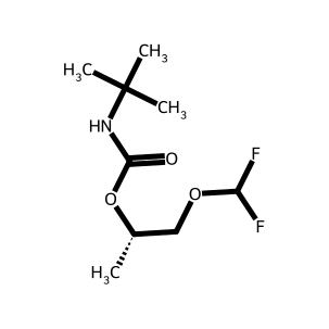 C[C@@H](COC(F)F)OC(=O)NC(C)(C)C